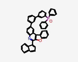 O=P(c1ccccc1)(c1ccccc1)c1cccc(-c2cccc(-c3ccc4nc(-c5cccc6ccccc56)c5oc6ccccc6c5c4c3)c2)c1